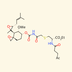 CCOC(=O)[C@@H](CSCC(=O)NC(=O)O[C@@H]1CC[C@]2(CO2)[C@@H](C2(C)O[C@@H]2CC=C(C)C)[C@@H]1OC)NC(=O)CCC(C)=O